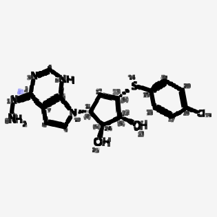 N/N=c1/nc[nH]c2c1ccn2[C@@H]1C[C@H](Sc2ccc(Cl)cc2)[C@@H](O)[C@H]1O